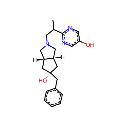 CC(CN1C[C@@H]2C[C@@](O)(Cc3ccccc3)C[C@@H]2C1)c1ncc(O)cn1